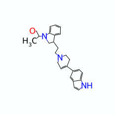 CC(C=O)N1CC(CCN2CC=C(c3ccc4[nH]ccc4c3)CC2)c2ccccc21